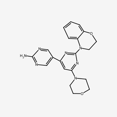 Nc1ncc(-c2cc(N3CCOCC3)nc(N3CCOc4ccccc43)n2)cn1